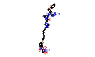 Nc1ncnc2c1c(-c1ccc(Oc3ccccc3)cc1)nn2[C@@H]1CCCN(C(=O)/C=C/CN2CCN(CCCCCCCCCCCCSc3cccc4c3CN(C3CCC(=O)NC3=O)C4=O)CC2)C1